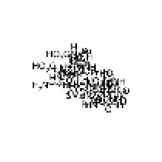 CC[C@H](C)[C@H](NC(=O)[C@H](C)NC(=O)[C@H](CC(C)C)NC(=O)[C@H](C)NC(=O)[C@H](C)NC(=O)[C@H](CCC(=O)O)NC(=O)[C@H](CCCCN)NC(=O)[C@H](CCSC)NC(=O)[C@H](CCCCN)NC(=O)CNC(=O)[C@@H](NC(=O)CNC(=O)[C@@H](NC(=O)[C@H](C)NC(=O)[C@@H](NC(=O)[C@H](CO)NC(=O)[C@H](CO)NC(=O)CNC(=O)[C@@H]1CCCN1)C(C)C)C(C)C)C(C)C)C(=O)N[C@H](C(=O)O)C(C)C